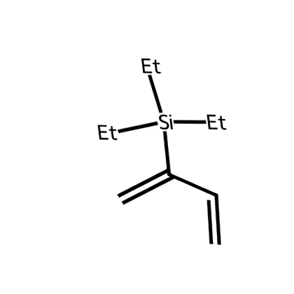 C=CC(=C)[Si](CC)(CC)CC